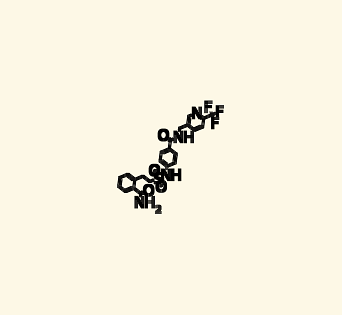 NC(=O)c1ccccc1CCS(=O)(=O)Nc1ccc(C(=O)NCc2ccc(C(F)(F)F)nc2)cc1